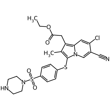 CCOC(=O)Cc1c(C)c(Sc2ccc(S(=O)(=O)N3CCNCC3)cc2)n2cc(C#N)c(Cl)cc12